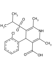 CC1=C(C(=O)O)C(c2ccccc2Cl)C(S(=O)(=O)C(C)C)=C(C)N1